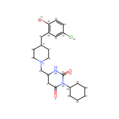 O=C1CC(CN2CCC(Cc3cc(Cl)ccc3Br)CC2)NC(=O)N1C1CCCCC1